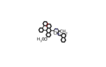 C=C(/C=C\C(=C)c1c2ccccc2c(-c2ccccc2-c2ccccc2)c2cc(OC)ccc12)/C=C\c1cccc2ccccc12